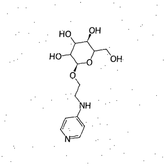 OCC1O[C@@H](OCCNc2ccncc2)C(O)C(O)[C@H]1O